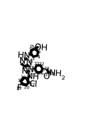 C[C@]1(O)CCC[C@@H](Nc2ncc3nc(Nc4ccc(F)cc4Cl)n([C@H]4CC[C@@H](CC(N)=O)CC4)c3n2)C1